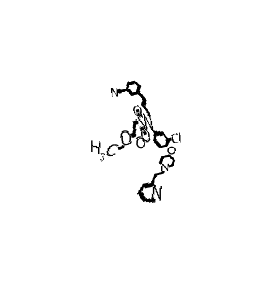 CCOC(=O)CS(=O)(=O)N(C/C=C/c1cccc(C#N)c1)c1ccc(OC2CCN(CCc3ccccn3)CC2)c(Cl)c1